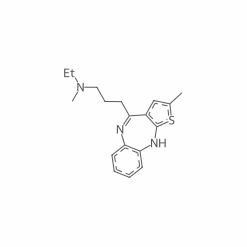 CCN(C)CCCC1=Nc2ccccc2Nc2sc(C)cc21